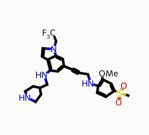 COc1cc(S(C)(=O)=O)ccc1NCC#Cc1cc(NCC2CCNCC2)c2ccn(CC(F)(F)F)c2c1